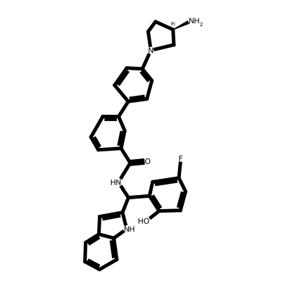 N[C@@H]1CCN(c2ccc(-c3cccc(C(=O)NC(c4cc5ccccc5[nH]4)c4cc(F)ccc4O)c3)cc2)C1